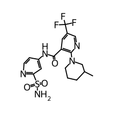 CC1CCCN(c2ncc(C(F)(F)F)cc2C(=O)Nc2ccnc(S(N)(=O)=O)c2)C1